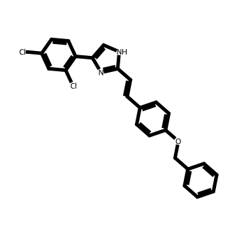 Clc1ccc(-c2c[nH]c(C=Cc3ccc(OCc4ccccc4)cc3)n2)c(Cl)c1